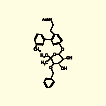 CC(=O)NCCc1ccc(O[C@@H]2OC(C)(C)[C@H](OCc3ccccc3)[C@@H](O)[C@H]2O)cc1-c1cccc(C)c1